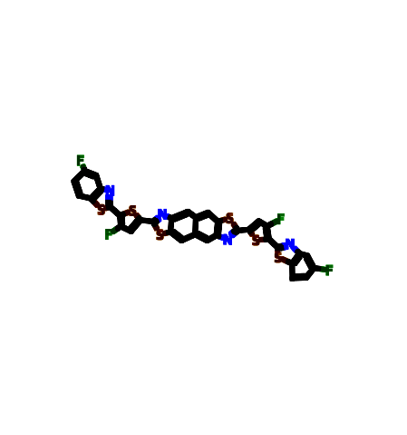 Fc1ccc2sc(-c3sc(-c4nc5cc6cc7sc(-c8cc(F)c(-c9nc%10cc(F)ccc%10s9)s8)nc7cc6cc5s4)cc3F)nc2c1